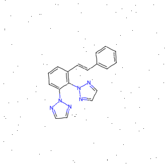 C(=Cc1cccc(-n2nccn2)c1-n1nccn1)c1ccccc1